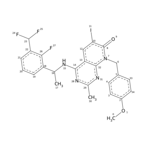 COc1ccc(Cn2c(=O)c(I)cc3c(NC(C)c4cccc(C(F)F)c4F)nc(C)nc32)cc1